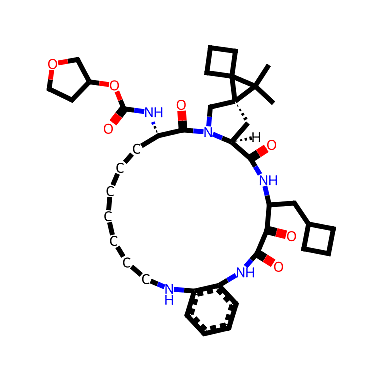 CC1(C)C2(CCC2)[C@@]12C[C@H]1C(=O)NC(CC3CCC3)C(=O)C(=O)Nc3ccccc3NCCCCCCC[C@H](NC(=O)OC3CCOC3)C(=O)N1C2